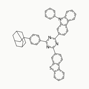 c1ccc(-n2c3ccccc3c3ccc(-c4nc(-c5ccc(C67CC8CC(CC(C8)C6)C7)cc5)nc(-c5ccc6c(c5)sc5ccccc56)n4)cc32)cc1